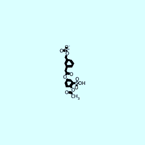 CC(=O)Oc1ccc(OC(=O)Cc2cccc(CO[N+](=O)[O-])c2)cc1S(=O)(=O)O